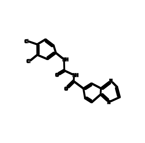 O=C(NC(=O)c1ccc2nccnc2c1)Nc1ccc(Cl)c(Cl)c1